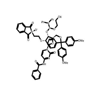 COc1ccc(C(OC[C@H]2O[C@@H](n3ccc(NC(=O)c4ccccc4)nc3=O)[C@H](OCC[N+]3([O-])C(=O)c4ccccc4C3=O)[C@@H]2OP(OCCC#N)N(C(C)C)C(C)C)(c2ccccc2)c2ccc(OC)cc2)cc1